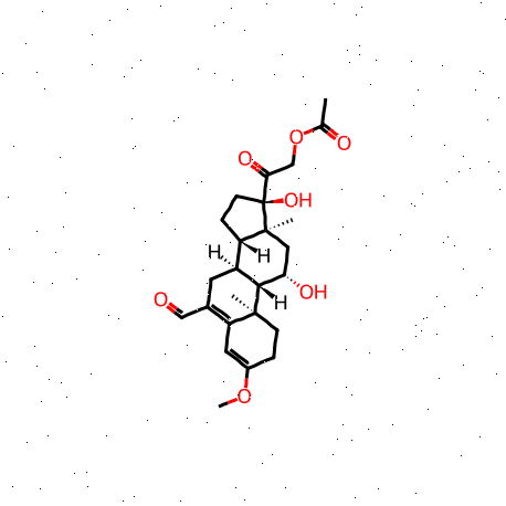 COC1=CC2=C(C=O)C[C@@H]3[C@H]([C@@H](O)C[C@@]4(C)[C@H]3CC[C@]4(O)C(=O)COC(C)=O)[C@@]2(C)CC1